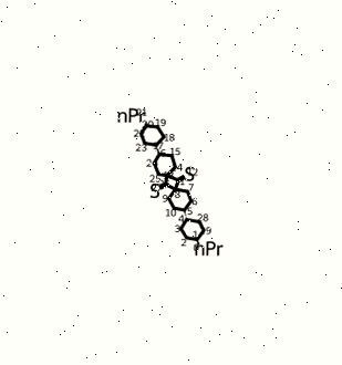 CCC[C@H]1CC[C@H](C2CCC3(CC2)C(=S)C2(CCC([C@H]4CC[C@H](CCC)CC4)CC2)C3=S)CC1